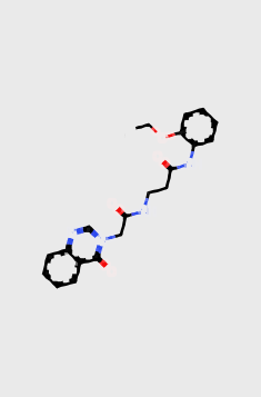 CCOc1ccccc1NC(=O)CCNC(=O)Cn1cnc2ccccc2c1=O